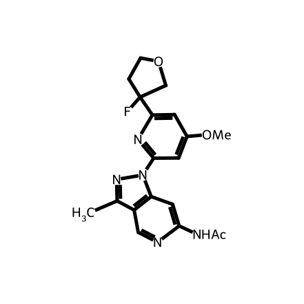 COc1cc(-n2nc(C)c3cnc(NC(C)=O)cc32)nc(C2(F)CCOC2)c1